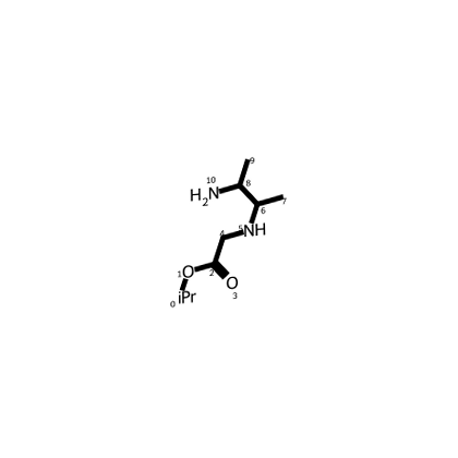 CC(C)OC(=O)CNC(C)C(C)N